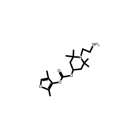 Cc1coc(C)c1OC(=O)OC1CC(C)(C)N(CCN)C(C)(C)C1